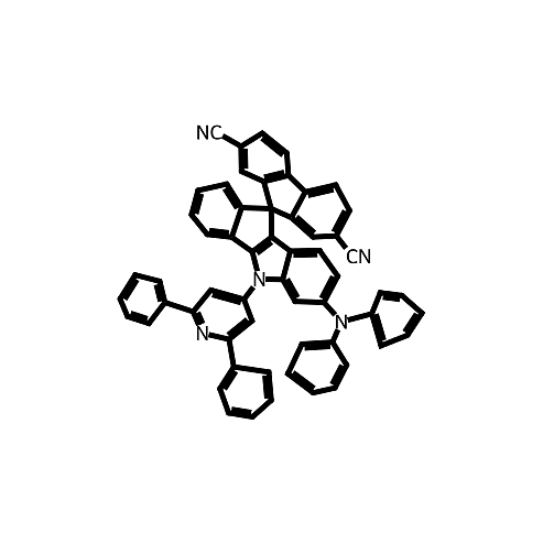 N#Cc1ccc2c(c1)C1(c3cc(C#N)ccc3-2)c2ccccc2-c2c1c1ccc(N(c3ccccc3)c3ccccc3)cc1n2-c1cc(-c2ccccc2)nc(-c2ccccc2)c1